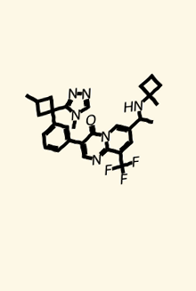 CC1CC(c2cccc(-c3cnc4c(C(F)(F)F)cc(C(C)NC5(C)CCC5)cn4c3=O)c2)(c2nncn2C)C1